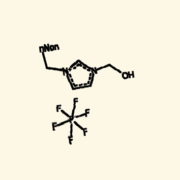 CCCCCCCCCC[n+]1ccn(CO)c1.F[P-](F)(F)(F)(F)F